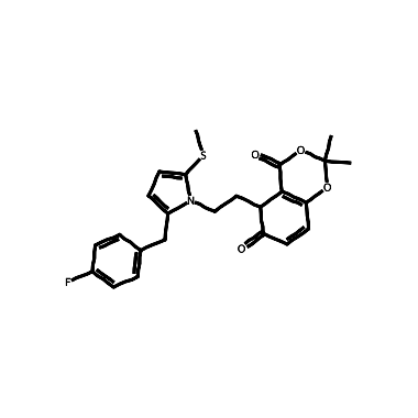 CSc1ccc(Cc2ccc(F)cc2)n1CCC1C(=O)C=CC2=C1C(=O)OC(C)(C)O2